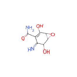 N=C1C(C(N)=O)=C(O)C2OC2C1O